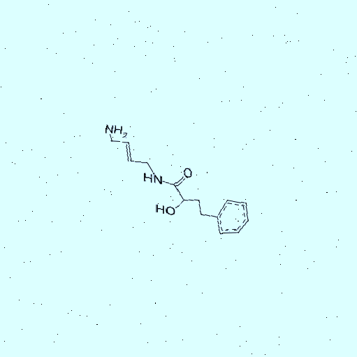 NC/C=C/CNC(=O)C(O)CCc1ccccc1